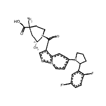 C[C@@H]1CC(N)(C(=O)O)CCN1C(=O)c1cnn2ccc(N3CCCC3c3cc(F)ccc3F)cc12